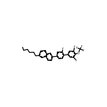 CCCCCCc1ccc2cc(-c3ccc(-c4cc(F)c(OC(F)(F)F)c(F)c4)c(F)c3)ccc2c1